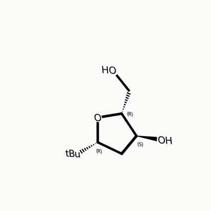 CC(C)(C)[C@H]1C[C@H](O)[C@@H](CO)O1